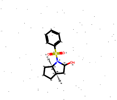 O=S(=O)(c1ccccc1)N1C(O)C[C@H]2CCC[C@H]21